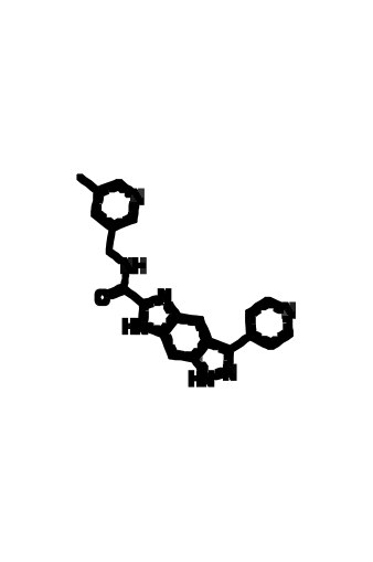 Cc1cncc(CNC(=O)c2nc3cc4c(-c5ccncc5)n[nH]c4cc3[nH]2)c1